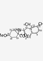 CCOC(=O)C1(NC(=O)C(C)c2cccc(C)c2)CCC(OC)CC1